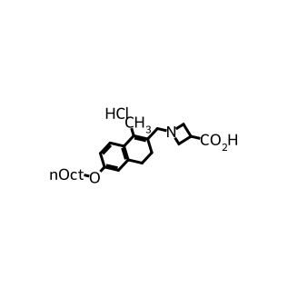 CCCCCCCCOc1ccc2c(c1)CCC(CN1CC(C(=O)O)C1)=C2C.Cl